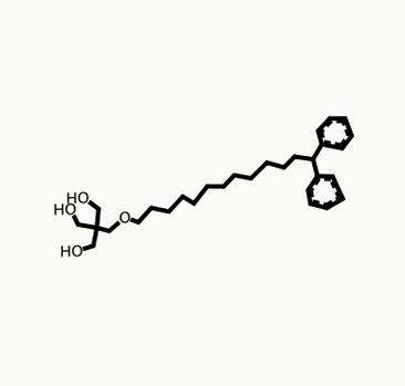 OCC(CO)(CO)COCCCCCCCCCCCCC(c1ccccc1)c1ccccc1